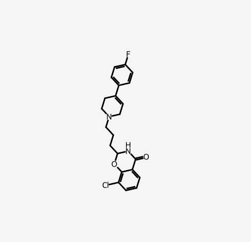 O=C1NC(CCCN2CC=C(c3ccc(F)cc3)CC2)Oc2c(Cl)cccc21